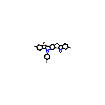 Cc1ccc(-n2c3cc4c(cc3c3sc5cc(C)ccc5c32)Cc2c-4n(C)c3cc(C)ccc23)cc1